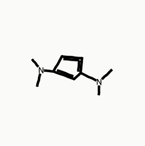 CN(C)C1=C=CC(N(C)C)=C1